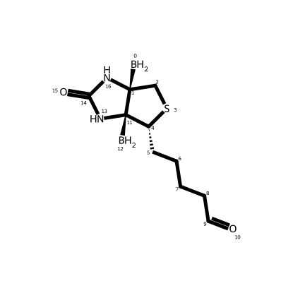 B[C@@]12CS[C@H](CCCCC=O)[C@]1(B)NC(=O)N2